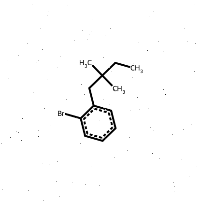 CCC(C)(C)Cc1ccccc1Br